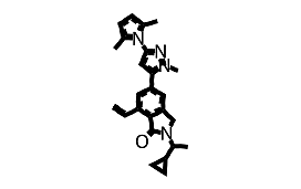 C=Cc1cc(-c2cc(-n3c(C)ccc3C)nn2C)cc2c1C(=O)N(C(C)C1CC1)C2